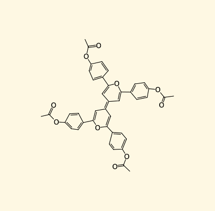 CC(=O)Oc1ccc(C2=CC(=C3C=C(c4ccc(OC(C)=O)cc4)OC(c4ccc(OC(C)=O)cc4)=C3)C=C(c3ccc(OC(C)=O)cc3)O2)cc1